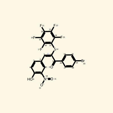 O=C(/C(=C\c1ccc(O)c([N+](=O)[O-])c1)Sc1c(F)c(F)c(F)c(F)c1F)c1ccc(Br)cc1